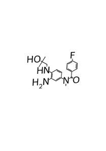 CN(C(=O)c1ccc(F)cc1)c1ccc(NCC(C)(C)O)c(N)c1